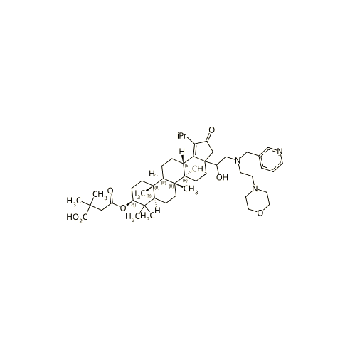 CC(C)C1=C2[C@H]3CC[C@@H]4[C@@]5(C)CC[C@H](OC(=O)CC(C)(C)C(=O)O)C(C)(C)[C@@H]5CC[C@@]4(C)[C@]3(C)CCC2(C(O)CN(CCN2CCOCC2)Cc2cccnc2)CC1=O